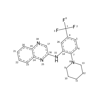 FC(F)(F)c1ccc(N2CCCCC2)c(Nc2cnc3ccccc3n2)c1